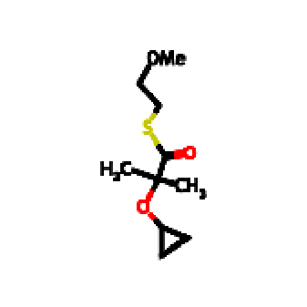 COCCSC(=O)C(C)(C)OC1CC1